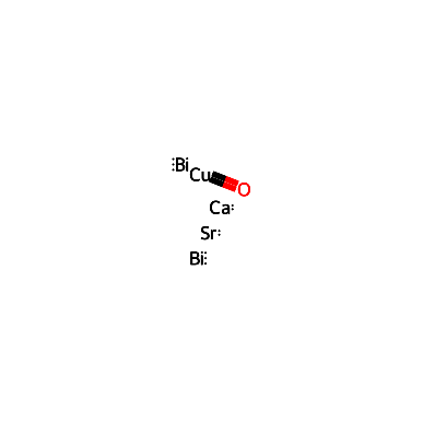 [Bi].[Bi].[Ca].[O]=[Cu].[Sr]